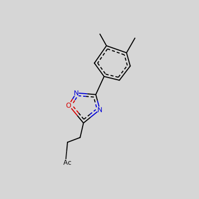 CC(=O)CCc1nc(-c2ccc(C)c(C)c2)no1